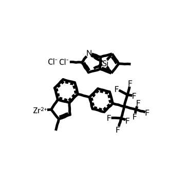 CC1=CC2=C3C(C)=C(C2=N1)[Si]3(C)C.CC1=Cc2c(-c3ccc(C(C(F)(F)F)(C(F)(F)F)C(F)(F)F)cc3)cccc2[CH]1[Zr+2].[Cl-].[Cl-]